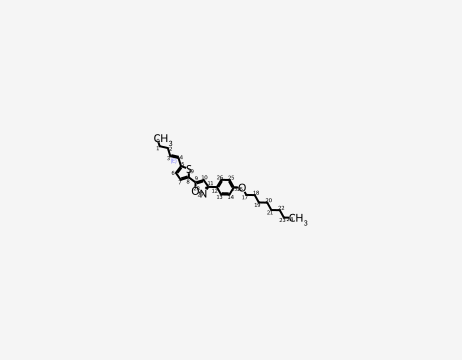 CCC/C=C/c1ccc(-c2cc(-c3ccc(OCCCCCCCC)cc3)no2)s1